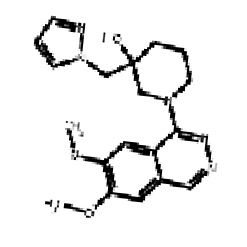 COc1cc2cnnc(N3CCCC(O)(Cn4cccn4)C3)c2cc1OC